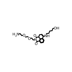 NCCOCCOCCN1C(=O)c2cccc3c2C(CC=C3NCCCCCO)C1=O